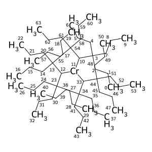 CCCC(CCC)(CCC)[CH]([Cr]([CH](C(CCC)(CCC)CCC)C(CCC)(CCC)CCC)[CH](C(CCC)(CCC)CCC)C(CCC)(CCC)CCC)C(CCC)(CCC)CCC